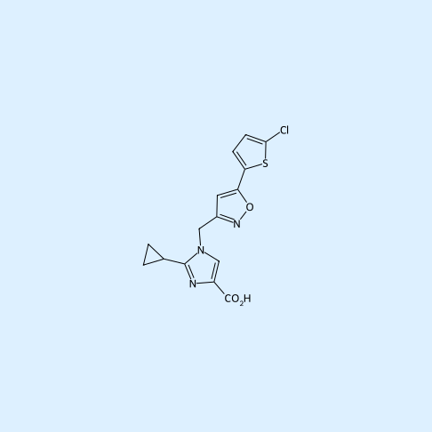 O=C(O)c1cn(Cc2cc(-c3ccc(Cl)s3)on2)c(C2CC2)n1